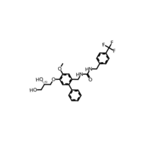 COc1cc(CNC(=O)NCc2ccc(C(F)(F)F)cc2)c(-c2ccccc2)cc1OC[C@@H](O)CO